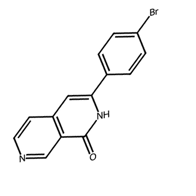 O=c1[nH]c(-c2ccc(Br)cc2)cc2ccncc12